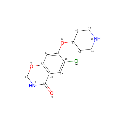 O=C1NCOc2cc(OC3CCNCC3)c(Cl)cc21